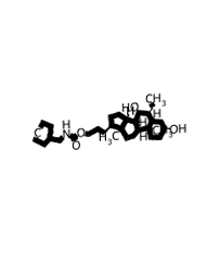 CC[C@H]1[C@@H](O)[C@@H]2[C@H](CC[C@]3(C)[C@@H](CCCOC(=O)NCC4CCCCC4)CC[C@@H]23)[C@@]2(C)CC[C@@H](O)C[C@@H]12